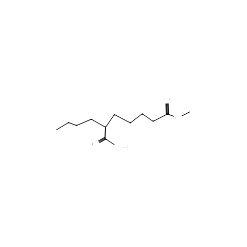 CCCCC(CCCCC(=O)OC)C(=O)O